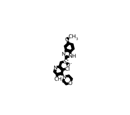 COc1ccc2[nH]c([S+]([O-])Cc3ncc(C)c(N4CCOCC4)c3Cl)nc2c1